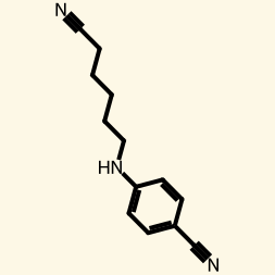 N#CCCCCCNc1ccc(C#N)cc1